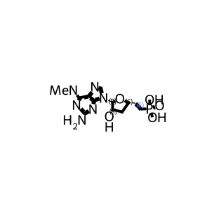 CNc1nc(N)nc2c1ncn2[C@@H]1O[C@H](/C=C/P(=O)(O)O)C[C@H]1O